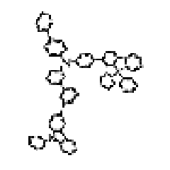 c1ccc(-c2ccc(N(c3ccc(-c4ccc5c(c4)C(c4ccccc4)(c4ccccc4)c4ccccc4-5)cc3)c3cccc(-c4cccc(-c5ccc6c(c5)c5ccccc5n6-c5ccccc5)c4)c3)cc2)cc1